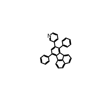 c1ccc(-c2cc(-c3cccnc3)c(-c3ccccc3)c3c2-c2cccc4cccc-3c24)cc1